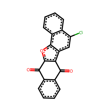 O=C1c2ccccc2C(=O)c2c1oc1c2cc(Cl)c2ccccc21